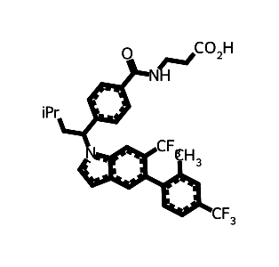 Cc1cc(C(F)(F)F)ccc1-c1cc2ccn(C(CC(C)C)c3ccc(C(=O)NCCC(=O)O)cc3)c2cc1C(F)(F)F